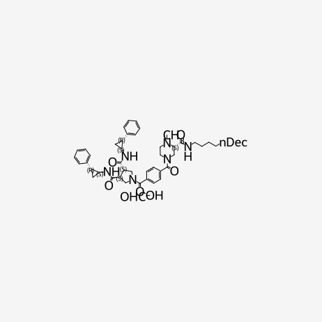 CCCCCCCCCCCCCCNC(=O)[C@@H]1CN(C(=O)c2ccc(C(=O)N3C[C@@H](C(=O)N[C@H]4C[C@@H]4c4ccccc4)[C@H](C(=O)N[C@H]4C[C@@H]4c4ccccc4)C3)cc2)CCN1C.O=CO